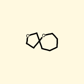 C1CCOC2(CC1)CCOC2